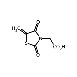 C=C1SC(=O)N(CC(=O)O)C1=O